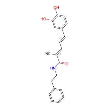 N#C/C(=C\C=C\c1ccc(O)c(O)c1)C(=O)NCCc1ccccc1